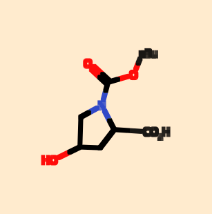 CCCCOC(=O)N1CC(O)CC1C(=O)O